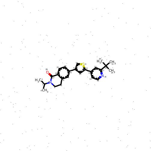 CC(C)N1CCc2cc(-c3csc(-c4ccnc(C(C)(C)C)c4)c3)ccc2C1=O